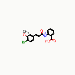 COc1cc(/C=C/C(=O)Nc2ccccc2C(=O)O)ccc1Br